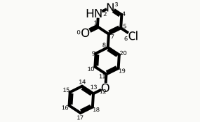 O=c1[nH]ncc(Cl)c1-c1ccc(Oc2ccccc2)cc1